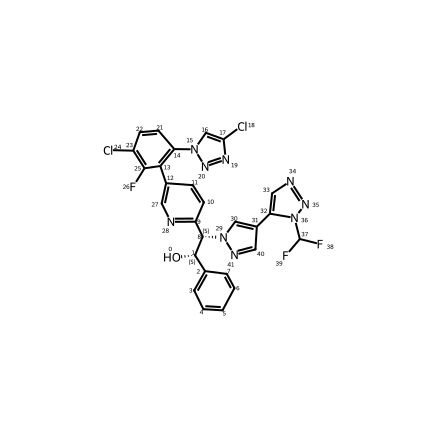 O[C@@H](c1ccccc1)[C@H](c1ccc(-c2c(-n3cc(Cl)nn3)ccc(Cl)c2F)cn1)n1cc(-c2cnnn2C(F)F)cn1